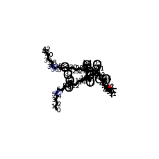 CCCCC/C=C\CCOC(=O)CCCCC(=O)OCC(CO)(COC(=O)CCCCC(=O)OCC/C=C\CCCCC)COC(=O)CC12CC(F)(C1)C2